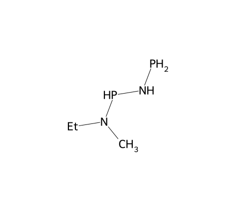 CCN(C)PNP